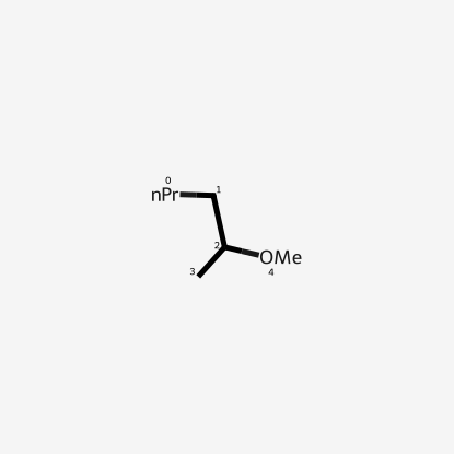 [CH2]CCCC(C)OC